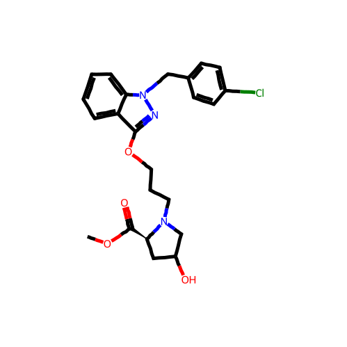 COC(=O)[C@@H]1CC(O)CN1CCCOc1nn(Cc2ccc(Cl)cc2)c2ccccc12